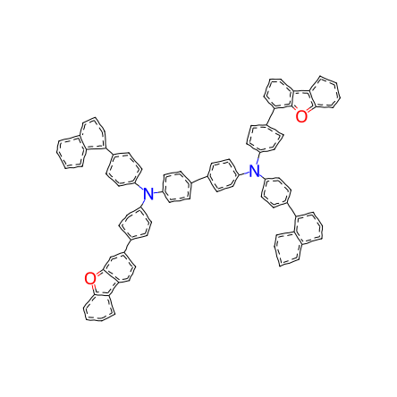 c1ccc2c(-c3ccc(N(c4ccc(-c5ccc(N(c6ccc(-c7cccc8ccccc78)cc6)c6ccc(-c7cccc8c7oc7ccccc78)cc6)cc5)cc4)c4ccc(-c5ccc6c(c5)oc5ccccc56)cc4)cc3)cccc2c1